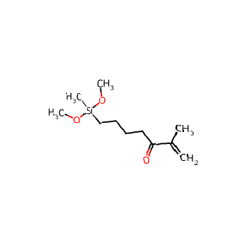 C=C(C)C(=O)CCCC[Si](C)(OC)OC